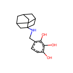 Oc1ccc(CNC23CC4CC(CC(C4)C2)C3)c(O)c1O